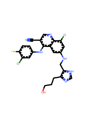 N#Cc1cnc2c(Cl)cc(NCc3[nH]cnc3CCCO)cc2c1Nc1ccc(F)c(Cl)c1